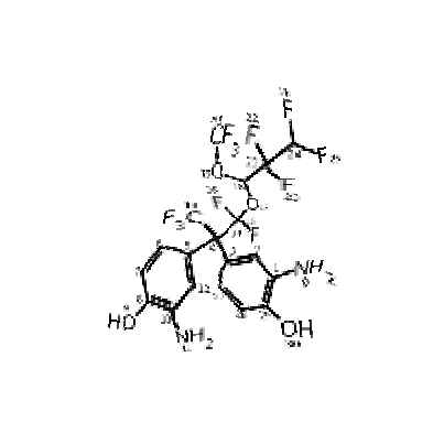 Nc1cc(C(c2ccc(O)c(N)c2)(C(F)(F)F)C(F)(F)OC(OC(F)(F)F)C(F)(F)C(F)F)ccc1O